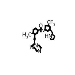 Cc1ccc(C(=O)Nc2cc(CC3CCCN3)cc(C(F)(F)F)c2)cc1C#Cc1cnc2cnccn12